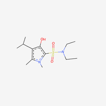 CCN(CC)S(=O)(=O)c1c(O)c(C(C)C)c(C)n1C